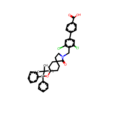 CC(C)(C)[Si](OC1CCC2(CC1)CCN(Cc1c(Cl)cc(-c3ccc(C(=O)O)cc3)cc1Cl)C2=O)(c1ccccc1)c1ccccc1